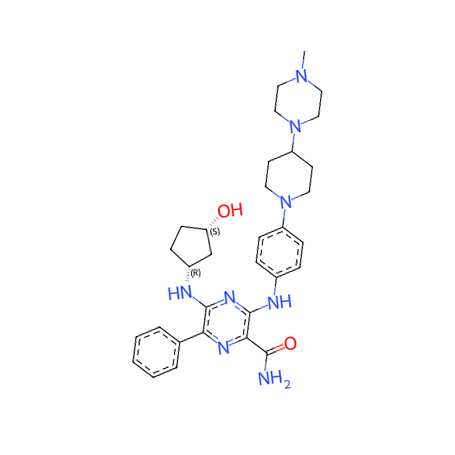 CN1CCN(C2CCN(c3ccc(Nc4nc(N[C@@H]5CC[C@H](O)C5)c(-c5ccccc5)nc4C(N)=O)cc3)CC2)CC1